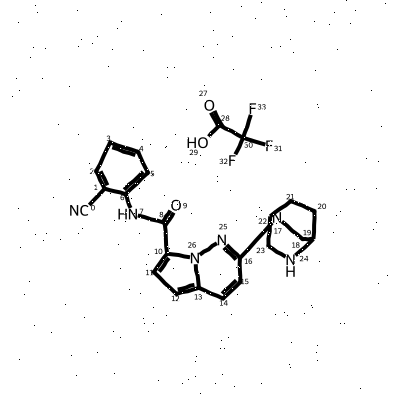 N#Cc1ccccc1NC(=O)c1ccc2ccc(N3CC4CCC3CN4)nn12.O=C(O)C(F)(F)F